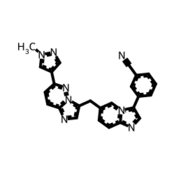 Cn1cc(-c2ccc3ncc(Cc4ccc5ncc(-c6cccc(C#N)c6)n5c4)n3n2)cn1